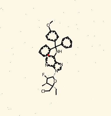 CC[C@@]1(CCl)O[C@@H](n2cnc3c(NC(c4ccccc4)(c4ccccc4)c4ccc(OC)cc4)ncnc32)[C@H](F)[C@@H]1C